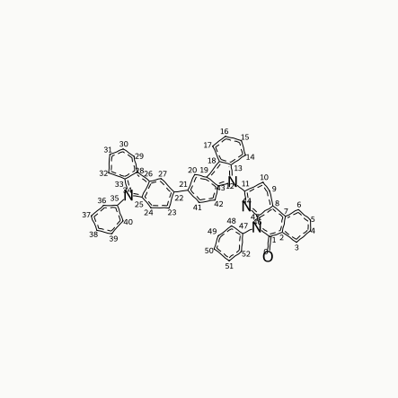 O=c1c2ccccc2c2ccc(-n3c4ccccc4c4cc(-c5ccc6c(c5)c5ccccc5n6-c5ccccc5)ccc43)nc2n1-c1ccccc1